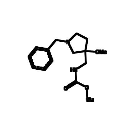 COC1(CNC(=O)OC(C)(C)C)CCN(Cc2ccccc2)C1